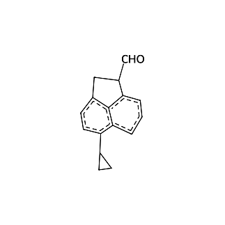 O=CC1Cc2ccc(C3CC3)c3cccc1c23